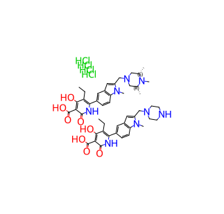 CCc1c(-c2ccc3c(c2)cc(CN2CCNCC2)n3C)[nH]c(=O)c(C(=O)O)c1O.CCc1c(-c2ccc3c(c2)cc(CN2C[C@@H](C)N(C)[C@@H](C)C2)n3C)[nH]c(=O)c(C(=O)O)c1O.Cl.Cl.Cl.Cl